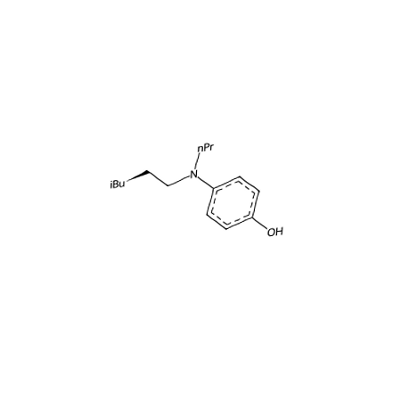 CCCN(CC[C@H](C)CC)c1ccc(O)cc1